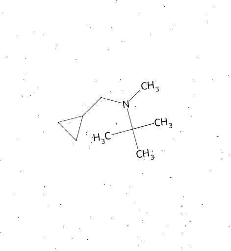 CN(CC1CC1)C(C)(C)C